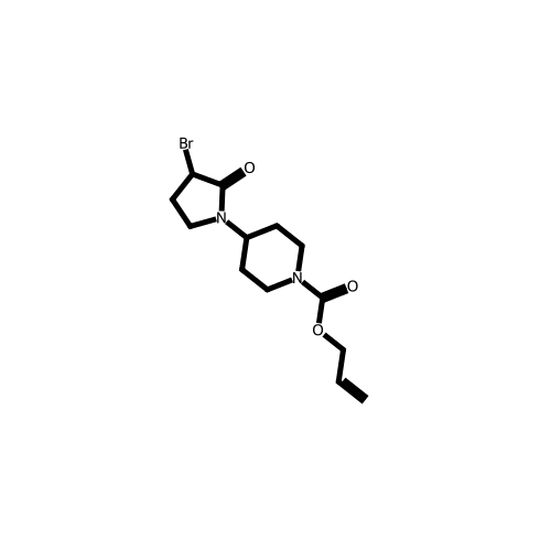 C=CCOC(=O)N1CCC(N2CCC(Br)C2=O)CC1